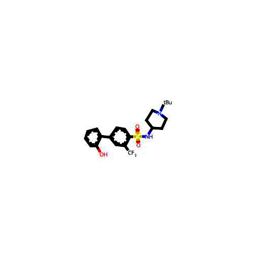 CC(C)(C)N1CCC(NS(=O)(=O)c2ccc(-c3ccccc3O)cc2C(F)(F)F)CC1